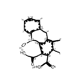 Cc1c(C)c(C(=O)O)c(C(=O)O)c2c1Cc1ccccc1[S+]2[O-]